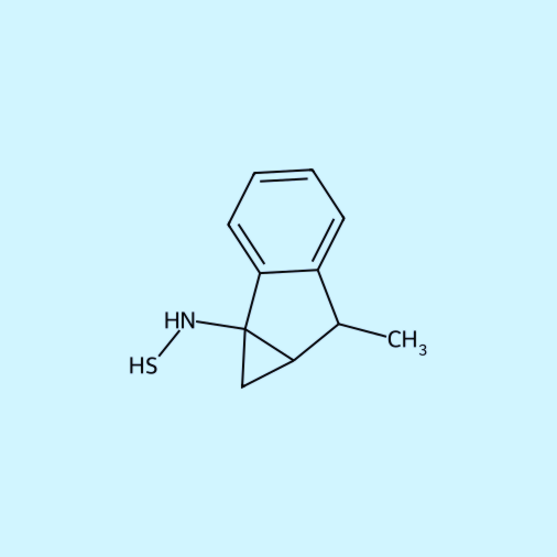 CC1c2ccccc2C2(NS)CC12